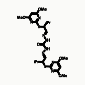 COc1cc(OC)nc(SC(C=NNC(=O)NN=CC(Sc2nc(OC)cc(OC)n2)C(C)C)C(C)C)n1